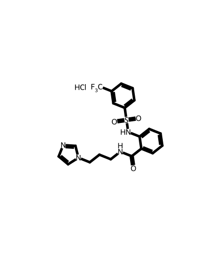 Cl.O=C(NCCCn1ccnc1)c1ccccc1NS(=O)(=O)c1cccc(C(F)(F)F)c1